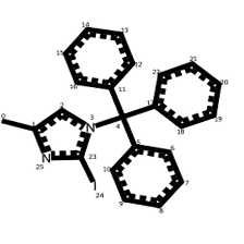 Cc1cn(C(c2ccccc2)(c2ccccc2)c2ccccc2)c(I)n1